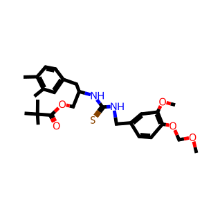 COCOc1ccc(CNC(=S)NC(COC(=O)C(C)(C)C)Cc2ccc(C)c(C)c2)cc1OC